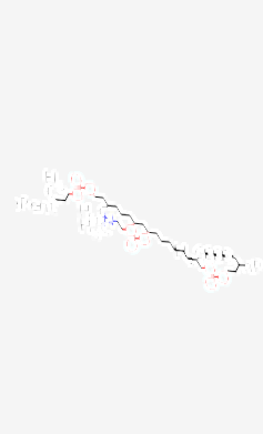 C=C=C=C=CC(CCCCC)CCOC(=O)OCCCCCCCCC(CCCCCCCCOC(=O)OCCC(C)CCCCC)OC(=O)OCCN(C)C